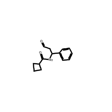 O=CCC(NC(=O)C1CCC1)c1ccccc1